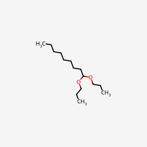 CCCCCCCCC(OCCC)OCCC